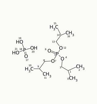 CC(C)COP(=O)(OCC(C)C)OCC(C)C.O=P(O)(O)O